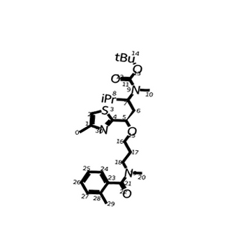 Cc1csc([C@@H](CC(C(C)C)N(C)C(=O)OC(C)(C)C)OCCCN(C)C(=O)c2ccccc2C)n1